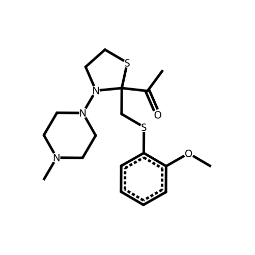 COc1ccccc1SCC1(C(C)=O)SCCN1N1CCN(C)CC1